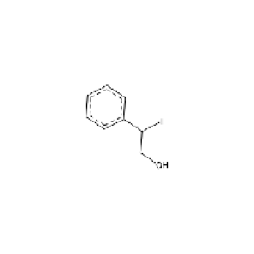 OCC(I)c1ccccc1